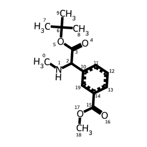 CNC(C(=O)OC(C)(C)C)c1cccc(C(=O)OC)c1